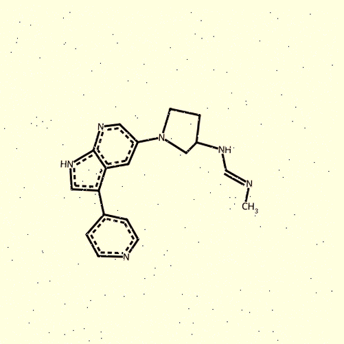 CN=CNC1CCN(c2cnc3[nH]cc(-c4ccncc4)c3c2)C1